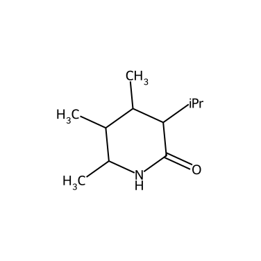 CC(C)C1C(=O)NC(C)C(C)C1C